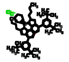 CCCCC1=Cc2c(-c3cc(C(C)(C)C)cc(C(C)(C)C)c3)cccc2[CH]1[Zr+2]1([CH]2C(CCCC)=Cc3c(-c4cc(C(C)(C)C)cc(C(C)(C)C)c4)cccc32)[CH]2CCCC[CH]21.[Cl-].[Cl-]